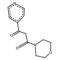 O=C(CC(=O)N1CCOCC1)c1ccncc1